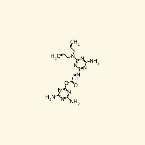 C=CCN(CC=C)c1nc(N)nc(/N=C/C(=O)Oc2nc(N)nc(N)n2)n1